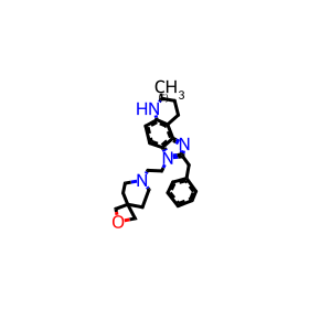 C[C@H]1CCc2c(ccc3c2nc(Cc2ccccc2)n3CCN2CCC3(CC2)COC3)N1